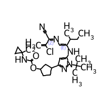 C=C(Cl)/C(C#N)=N\C=C(\Nc1cc(C2CCC(OC(=O)NC3(C)CC3)C2)nn1C(C)(C)C)C(C)CC